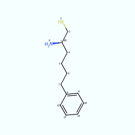 N[C@@H](CS)CCCCc1ccccc1